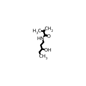 C=C(C)C(=O)NCCC(O)CC